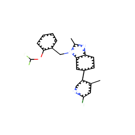 Cc1cc(Cl)ncc1-c1ccc2nc(C)n(Cc3ccccc3OC(F)F)c2c1